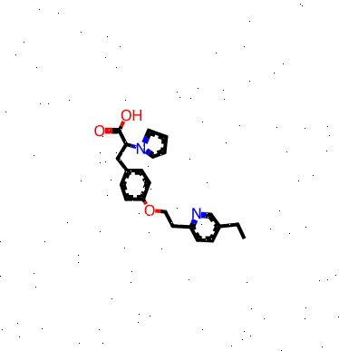 CCc1ccc(CCOc2ccc(CC(C(=O)O)n3cccc3)cc2)nc1